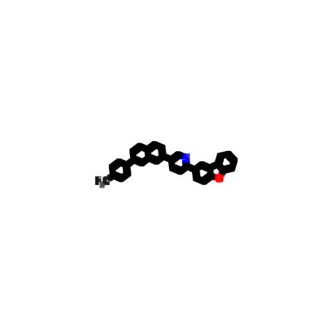 FC(F)(F)c1ccc(-c2ccc3ccc(-c4ccc(-c5ccc6oc7ccccc7c6c5)nc4)cc3c2)cc1